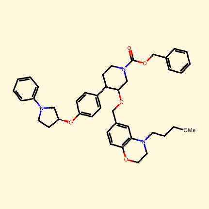 COCCCN1CCOc2ccc(COC3CN(C(=O)OCc4ccccc4)CCC3c3ccc(O[C@H]4CCN(c5ccccc5)C4)cc3)cc21